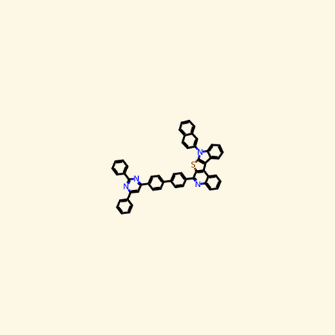 c1ccc(-c2cc(-c3ccc(-c4ccc(-c5nc6ccccc6c6c5sc5c6c6ccccc6n5-c5ccc6ccccc6c5)cc4)cc3)nc(-c3ccccc3)n2)cc1